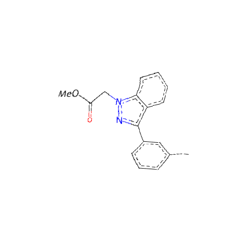 COC(=O)Cn1nc(-c2cccc(C)c2)c2ccccc21